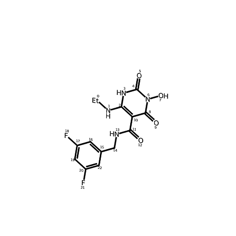 CCNc1[nH]c(=O)n(O)c(=O)c1C(=O)NCc1cc(F)cc(F)c1